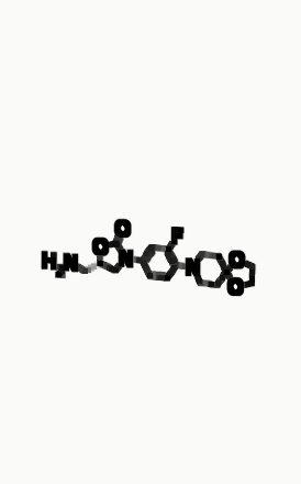 NC[C@H]1CN(c2ccc(N3CCC4(CC3)OCCO4)c(F)c2)C(=O)O1